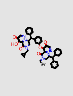 CC(C)CN1CC(C(c2ccccc2)c2ccccc2)n2ncc(=O)c(Oc3cccc(C(c4ccccc4)C4CN(CC5CC5)C(=O)c5c(O)c(=O)cnn54)c3)c2C1=O